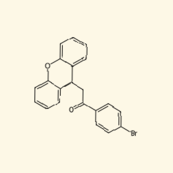 O=C(CC1c2ccccc2Oc2ccccc21)c1ccc(Br)cc1